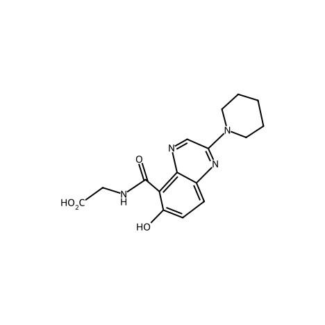 O=C(O)CNC(=O)c1c(O)ccc2nc(N3CCCCC3)cnc12